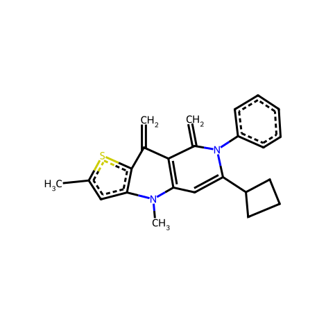 C=C1C2=C(C=C(C3CCC3)N(c3ccccc3)C2=C)N(C)c2cc(C)sc21